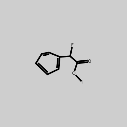 O=C(OI)C(F)c1ccccc1